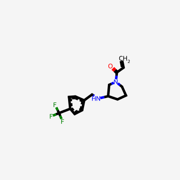 C=CC(=O)N1CCCC(NCc2ccc(C(F)(F)F)cc2)C1